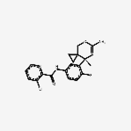 C[C@]1(c2cc(NC(=O)c3ncccc3Cl)ccc2F)N=C(N)OCC12CC2